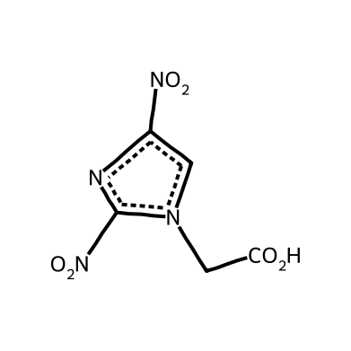 O=C(O)Cn1cc([N+](=O)[O-])nc1[N+](=O)[O-]